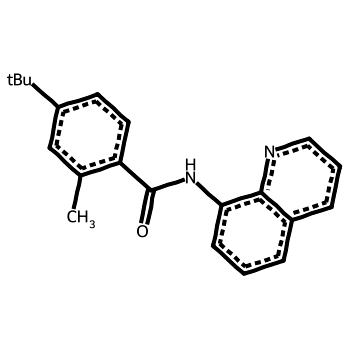 Cc1cc(C(C)(C)C)ccc1C(=O)Nc1cccc2cccnc12